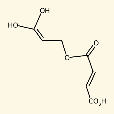 O=C(O)C=CC(=O)OCC=C(O)O